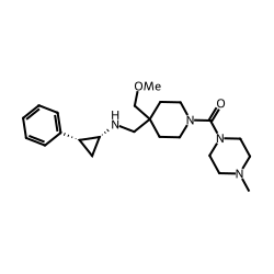 COCC1(CN[C@@H]2C[C@@H]2c2ccccc2)CCN(C(=O)N2CCN(C)CC2)CC1